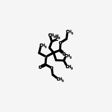 CCOC(=O)N(CC)C(CC(C)C)(CC(C)C)C(=O)OCC